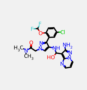 CN(C)C(=O)Cn1cc(NC(O)c2c(N)nn3cccnc23)c(-c2cc(Cl)ccc2OC(F)F)n1